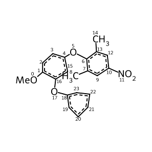 COc1ccc(Oc2c(C)cc([N+](=O)[O-])cc2C)cc1Oc1ccccc1